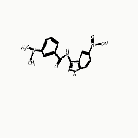 CN(C)c1cccc(C(=O)Nc2n[nH]c3ccc([N+](=O)O)cc23)c1